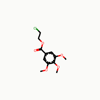 COc1cc(C(=O)OCCCl)cc(OC)c1OC